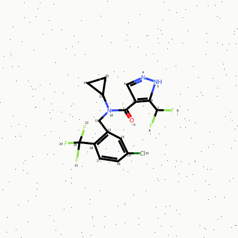 O=C(c1cn[nH]c1C(F)F)N(Cc1cc(Cl)ccc1C(F)(F)F)C1CC1